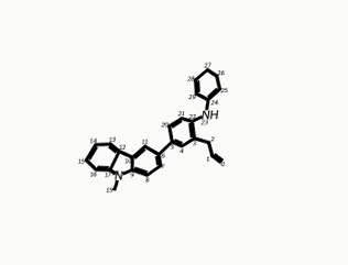 C=CCc1cc(-c2ccc3c(c2)c2ccccc2n3C)ccc1NC1=CCCC=C1